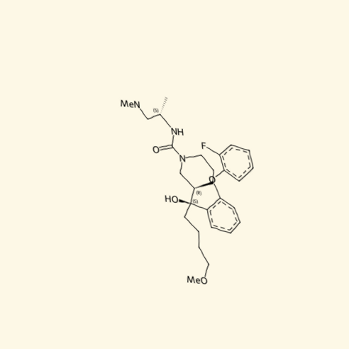 CNC[C@H](C)NC(=O)N1CCC[C@@H]([C@@](O)(CCCCOC)c2ccccc2Oc2ccccc2F)C1